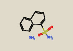 N.NS(=O)(=O)c1cccc2ccccc12